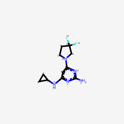 Nc1nc(NC2CC2)cc(N2CCC(F)(F)C2)n1